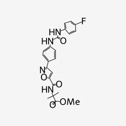 COC(=O)C(C)(C)NC(=O)c1cc(-c2ccc(NC(=O)Nc3ccc(F)cc3)cc2)no1